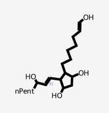 CCCCCC(O)/C=C/C1C(O)CC(O)C1CCCCCC=CO